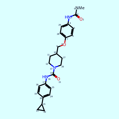 CNC(=O)Nc1ccc(OCC2CCN(C(=O)Nc3ccc(C4CC4)cc3)CC2)cc1